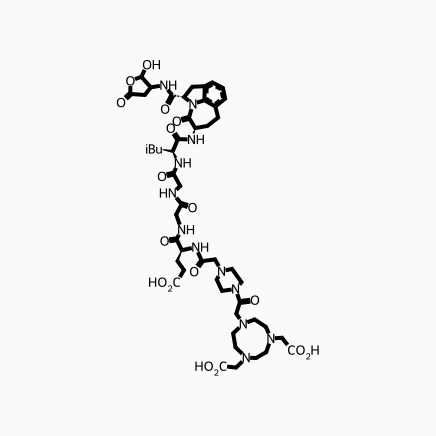 CC[C@H](C)[C@H](NC(=O)CNC(=O)CNC(=O)[C@H](CCC(=O)O)NC(=O)CN1CCN(C(=O)CN2CCN(CC(=O)O)CCN(CC(=O)O)CC2)CC1)C(=O)N[C@H]1CCc2cccc3c2N(C1=O)[C@H](C(=O)NC1CC(=O)OC1O)C3